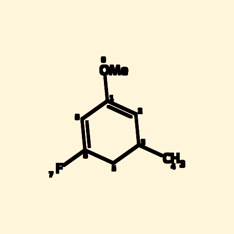 COC1=CC(C)CC(F)=C1